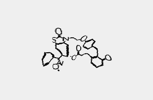 CON=C(c1ccccc1)c1ccc2c(c1)sc(=O)n2CCOc1ccc(CC2=C(CCC(=O)OC)C=CCC2=O)cc1